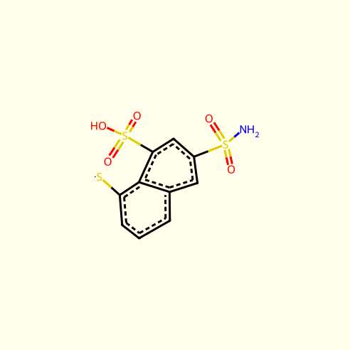 NS(=O)(=O)c1cc(S(=O)(=O)O)c2c([S])cccc2c1